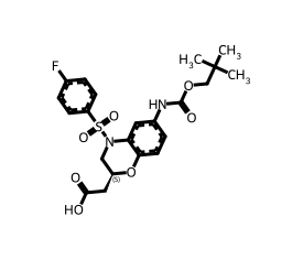 CC(C)(C)COC(=O)Nc1ccc2c(c1)N(S(=O)(=O)c1ccc(F)cc1)C[C@H](CC(=O)O)O2